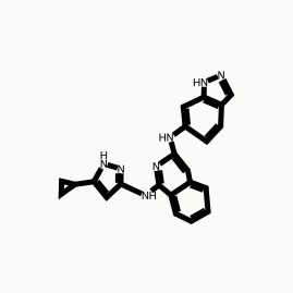 c1ccc2c(Nc3cc(C4CC4)[nH]n3)nc(Nc3ccc4cn[nH]c4c3)cc2c1